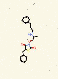 CC(CON1C(=O)SC(Cc2ccccc2)C1=O)NCCCc1ccccc1